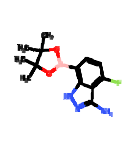 CC1(C)OB(c2ccc(F)c3c(N)n[nH]c23)OC1(C)C